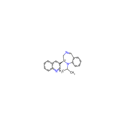 CC(C)N1c2ccccc2C=NC[C@@H]1c1cnc2ccccc2c1